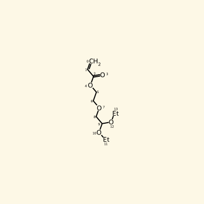 C=CC(=O)OCCOCC(OCC)OCC